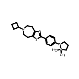 OS1(O)CCCN1c1ccc(-c2nc3c(s2)CCN(C2CCC2)CC3)cc1